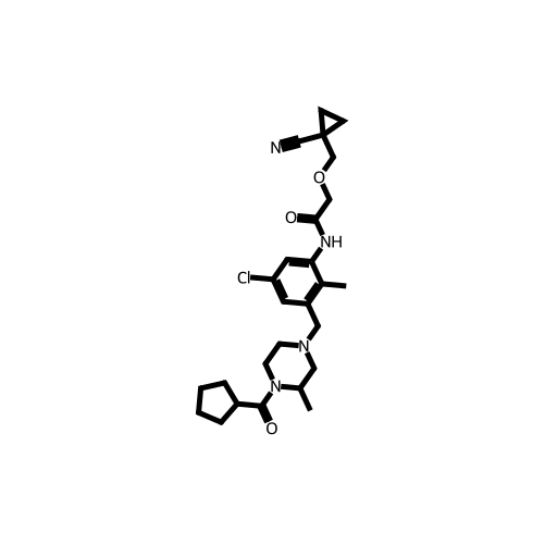 Cc1c(CN2CCN(C(=O)C3CCCC3)C(C)C2)cc(Cl)cc1NC(=O)COCC1(C#N)CC1